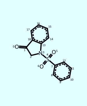 O=C1CN(S(=O)(=O)c2ccccc2)c2ccccc21